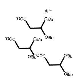 CC(C)COC(CC(=O)[O-])OCC(C)C.CC(C)COC(CC(=O)[O-])OCC(C)C.CC(C)COC(CC(=O)[O-])OCC(C)C.[Al+3]